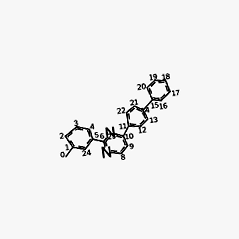 Cc1cccc(-c2nccc(-c3ccc(-c4ccccc4)cc3)n2)c1